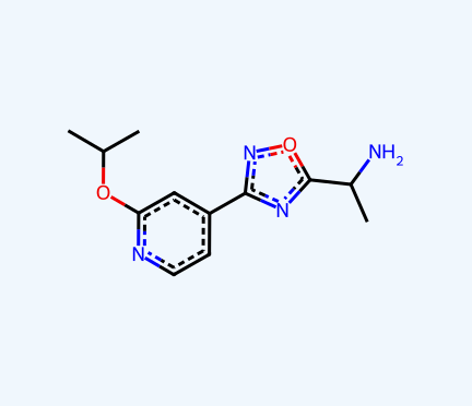 CC(C)Oc1cc(-c2noc(C(C)N)n2)ccn1